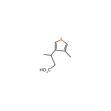 Cc1cscc1C(C)CC(=O)O